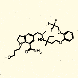 CCC(C)(CCOc1ccccc1OCC(F)(F)F)N[C@H](C)Cc1cc2c(c(C(N)=O)c1)N(CCCO)CC2